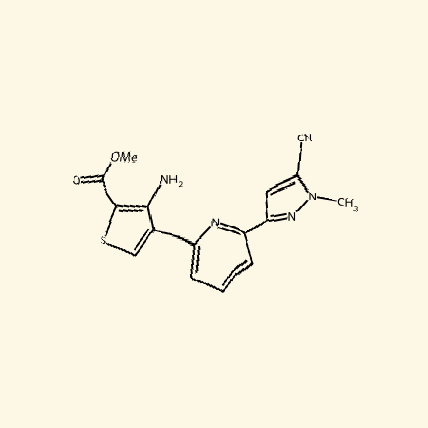 COC(=O)c1scc(-c2cccc(-c3cc(C#N)n(C)n3)n2)c1N